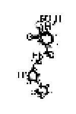 O=C(NOC[C@@H]1C[C@@H](N2CCSC2)CN1)[C@@H]1CC[C@@H]2CN1C(=O)N2OS(=O)(=O)O